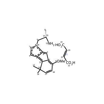 COC1=C2C=c3c(cnn3C[C@H](C)N)=C2C(C)(C)C=C1.O=C(O)/C=C/C(=O)O